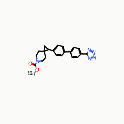 CC(C)(C)OC(=O)N1CCC2(CC1)CC2c1ccc(-c2ccc(C3N=NN=N3)cc2)cc1